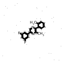 Cc1ccccc1-c1ncc(-c2cc(F)cc(F)c2)nc1C